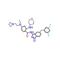 CCN(CCN1CCC1)c1ccc(C(=O)Nc2n[nH]c3ccc(Cc4cc(F)cc(F)c4)cc23)c(NC2CCOCC2)c1